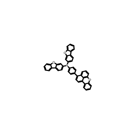 c1ccc2c(c1)Oc1cccc3c(-c4ccc(N(c5ccc6c(c5)oc5ccccc56)c5ccc6c(c5)oc5ccccc56)cc4)ccc-2c13